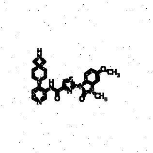 COC1=CC2C(C=C1)N(c1nc(C(=O)Nc3cnccc3N3CCC4(CC3)CNC4)cs1)C(=O)N2C